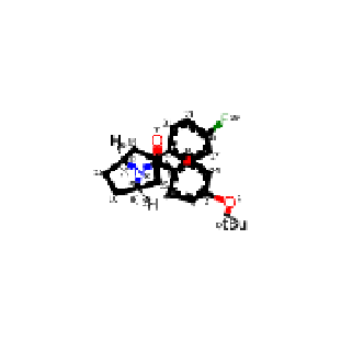 CC(C)(C)Oc1ccc(C(=O)N2[C@@H]3CC[C@H]2C[C@@H](c2ccc(F)cc2)C3)cc1